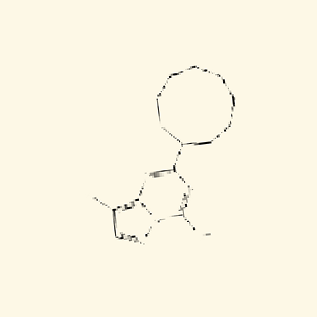 CC(C)c1cnn2c(O)nc(C3CCCCCCCC3)nc12